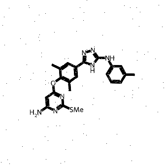 CSc1nc(N)cc(Oc2c(C)cc(-c3nnc(Nc4cccc(C)c4)[nH]3)cc2C)n1